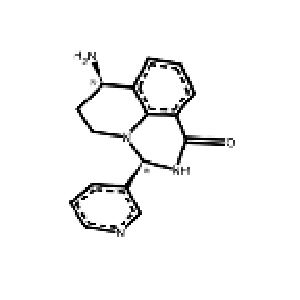 N[C@@H]1CCN2c3c(cccc31)C(=O)N[C@H]2c1cccnc1